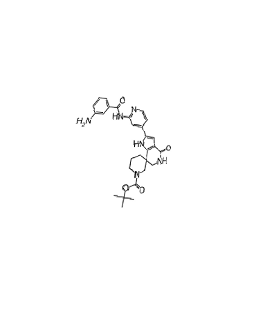 CC(C)(C)OC(=O)N1CCCC2(CNC(=O)c3cc(-c4ccnc(NC(=O)c5cccc(N)c5)c4)[nH]c32)C1